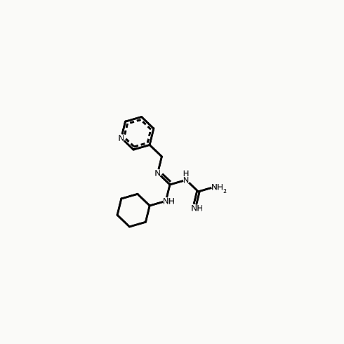 N=C(N)NC(=NCc1cccnc1)NC1CCCCC1